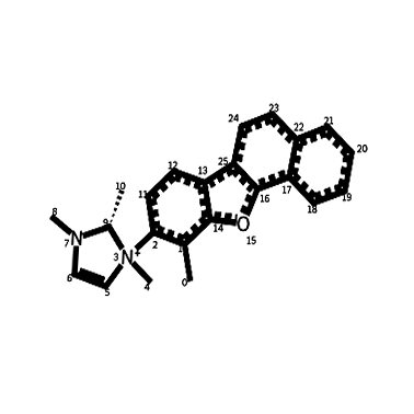 Cc1c([N+]2(C)C=CN(C)[C@@H]2C)ccc2c1oc1c3ccccc3ccc21